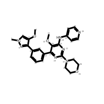 COc1cn(C)nc1-c1cccc(-c2nc(N3CCOCC3)nc(Nc3ccncc3)c2OC)c1